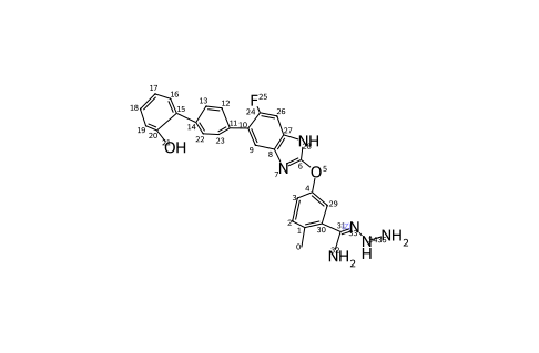 Cc1ccc(Oc2nc3cc(-c4ccc(-c5ccccc5O)cc4)c(F)cc3[nH]2)cc1/C(N)=N/NN